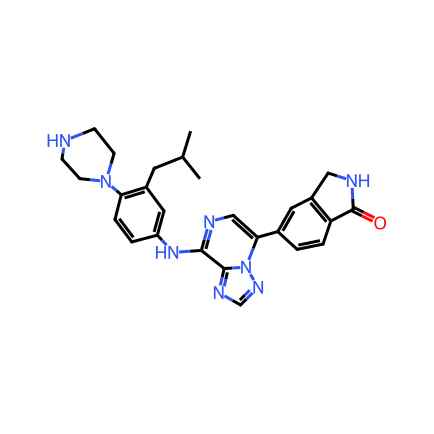 CC(C)Cc1cc(Nc2ncc(-c3ccc4c(c3)CNC4=O)n3ncnc23)ccc1N1CCNCC1